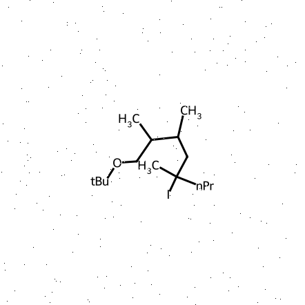 CCCC(C)(I)CC(C)C(C)COC(C)(C)C